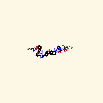 COC(=O)N[C@H](C(=O)N1CCC[C@H]1c1nc2c([nH]1)CCc1cc3c(cc1-2)OCc1cc(-c2cnc(C4CCCN4C(=O)[C@H](NC(=O)OC)C4(C)C=CC=CC4)[nH]2)ccc1-3)C(C)C